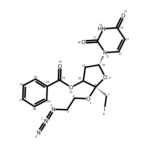 [N-]=[N+]=NCCO[C@]1(CI)O[C@@H](n2ccc(=O)[nH]c2=O)CC1OC(=O)c1ccccc1